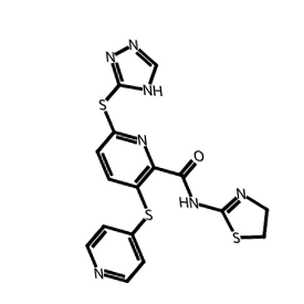 O=C(NC1=NCCS1)c1nc(Sc2nnc[nH]2)ccc1Sc1ccncc1